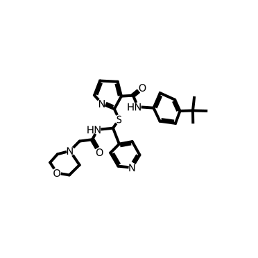 CC(C)(C)c1ccc(NC(=O)c2cccnc2SC(NC(=O)CN2CCOCC2)c2ccncc2)cc1